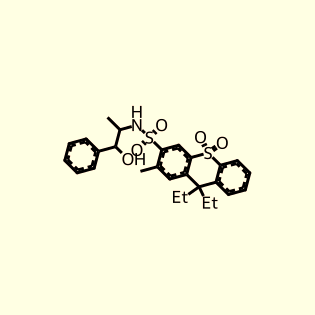 CCC1(CC)c2ccccc2S(=O)(=O)c2cc(S(=O)(=O)NC(C)C(O)c3ccccc3)c(C)cc21